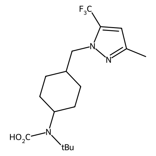 Cc1cc(C(F)(F)F)n(CC2CCC(N(C(=O)O)C(C)(C)C)CC2)n1